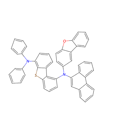 c1ccc(N(c2ccccc2)c2cccc3c2sc2cccc(N(c4ccc5oc6ccccc6c5c4)c4cc5ccccc5c5ccccc45)c23)cc1